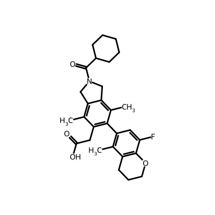 Cc1c(-c2c(C)c3c(c(C)c2CC(=O)O)CN(C(=O)C2CCCCC2)C3)cc(F)c2c1CCCO2